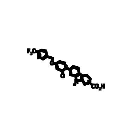 Cn1c2c(c3ccc(-n4ccc(OCc5ccc(C(F)(F)F)nc5)cc4=O)cc31)CCN(C(=O)O)C2